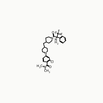 CN(C)C(=O)c1ccc(N2CCC(CC3CCN(C(=O)C(N)(c4ccccc4)C(F)(F)F)CC3)CC2)cc1Cl